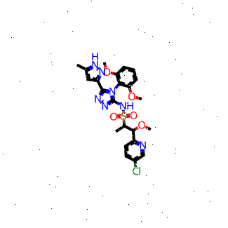 COc1cccc(OC)c1-n1c(NS(=O)(=O)C(C)C(OC)c2ccc(Cl)cn2)nnc1-c1cc(C)[nH]n1